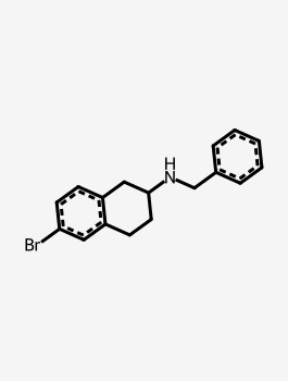 Brc1ccc2c(c1)CCC(NCc1ccccc1)C2